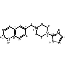 C1=Cc2cc(CN3CCN(c4nccs4)CC3)ccc2OO1